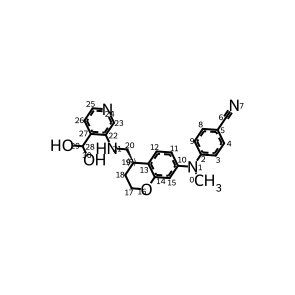 CN(c1ccc(C#N)cc1)c1ccc2c(c1)OCC[C@H]2CNc1cnccc1C(O)O